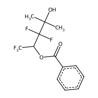 CC(C)(O)C(F)(F)C(OC(=O)c1ccccc1)C(F)(F)F